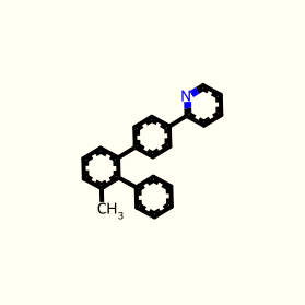 Cc1cccc(-c2ccc(-c3ccccn3)cc2)c1-c1ccccc1